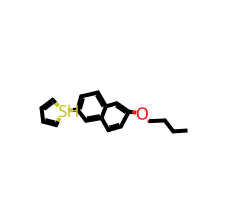 CCCCOc1ccc2cc([SH]3C=CC=C3)ccc2c1